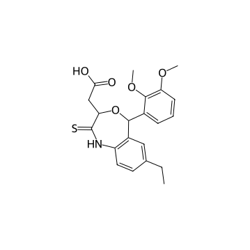 CCc1ccc2c(c1)C(c1cccc(OC)c1OC)OC(CC(=O)O)C(=S)N2